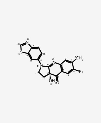 Cc1cc2c(cc1F)C(=O)[C@]1(O)CCN(c3ccc4ncsc4c3)C1=N2